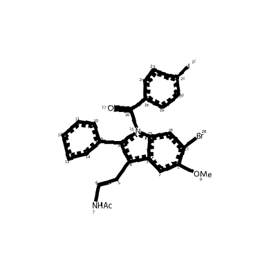 COc1cc2c(CCNC(C)=O)c(-c3ccccc3)n(C(=O)c3ccc(I)cc3)c2cc1Br